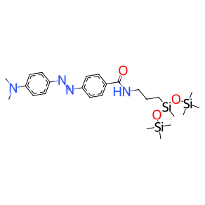 CN(C)c1ccc(N=Nc2ccc(C(=O)NCCC[Si](C)(O[Si](C)(C)C)O[Si](C)(C)C)cc2)cc1